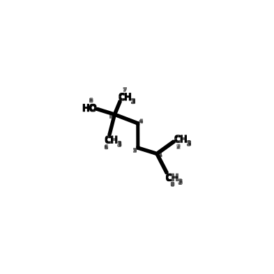 CC(C)CCC(C)(C)O